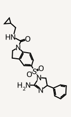 NC1=NC(c2ccccc2)CN1S(=O)(=O)c1ccc2c(c1)CCN2C(=O)NCC1CC1